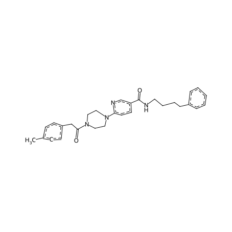 Cc1ccc(CC(=O)N2CCN(c3ccc(C(=O)NCCCCc4ccccc4)cn3)CC2)cc1